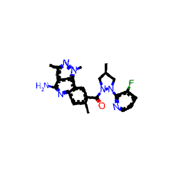 Cc1cc2nc(N)c3c(C)nn(C)c3c2cc1C(=O)N1CC(C)CN1c1ncccc1F